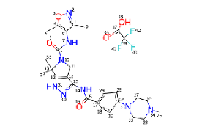 Cc1noc(C)c1NC(=O)N1Cc2c(NC(=O)c3ccc(N4CCN(C)CC4)cc3)n[nH]c2C1(C)C.O=C(O)C(F)(F)F